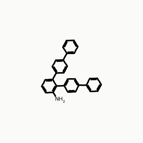 Nc1cccc(-c2ccc(-c3ccccc3)cc2)c1-c1ccc(-c2ccccc2)cc1